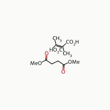 C/C(C(=O)O)=C(/C)C(=O)O.COC(=O)CCC(=O)OC